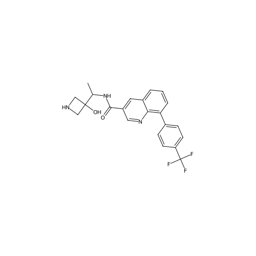 CC(NC(=O)c1cnc2c(-c3ccc(C(F)(F)F)cc3)cccc2c1)C1(O)CNC1